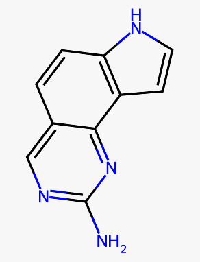 Nc1ncc2ccc3[nH]ccc3c2n1